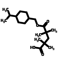 CC(C)C1CCC(COC(=O)C(C)(C)CC(C)(C)C(=O)O)CC1